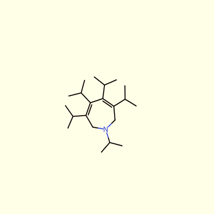 CC(C)C1=C(C(C)C)C(C(C)C)=C(C(C)C)CN(C(C)C)C1